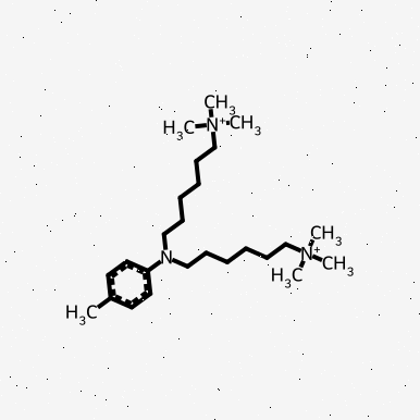 Cc1ccc(N(CCCCCC[N+](C)(C)C)CCCCCC[N+](C)(C)C)cc1